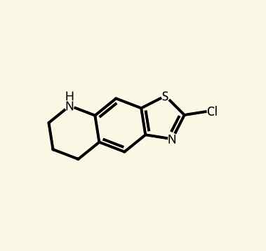 Clc1nc2cc3c(cc2s1)NCCC3